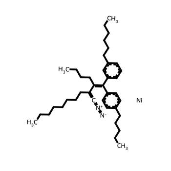 CCCCCCCCC(=C=[N+]=[N-])C(CCCC)=C(c1ccc(CCCCC)cc1)c1cccc(CCCCCC)c1.[Ni]